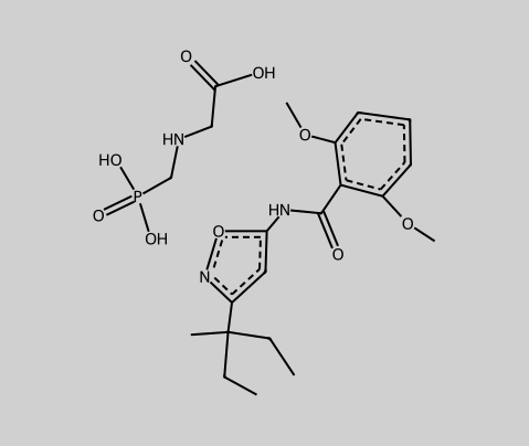 CCC(C)(CC)c1cc(NC(=O)c2c(OC)cccc2OC)on1.O=C(O)CNCP(=O)(O)O